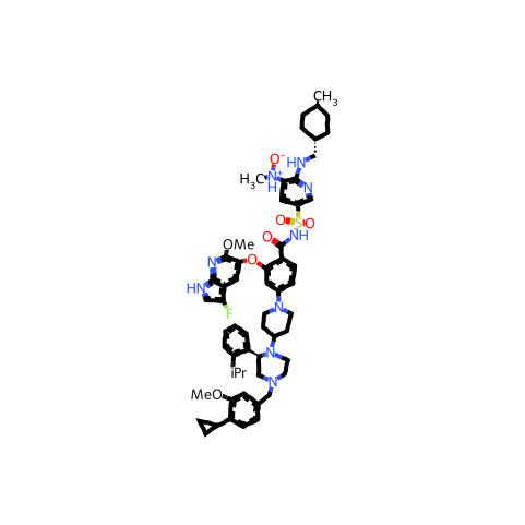 COc1cc(CN2CCN(C3CCN(c4ccc(C(=O)NS(=O)(=O)c5cnc(NC[C@H]6CC[C@@H](C)CC6)c([NH+](C)[O-])c5)c(Oc5cc6c(F)c[nH]c6nc5OC)c4)CC3)[C@H](c3ccccc3C(C)C)C2)ccc1C1CC1